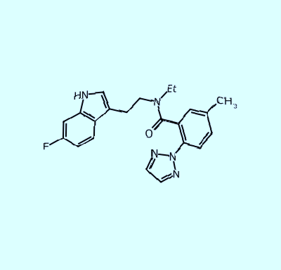 CCN(CCc1c[nH]c2cc(F)ccc12)C(=O)c1cc(C)ccc1-n1nccn1